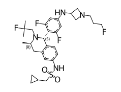 C[C@@H]1Cc2cc(NS(=O)(=O)CC3CC3)ccc2[C@@H](c2c(F)cc(NC3CN(CCCF)C3)cc2F)N1CC(C)(C)F